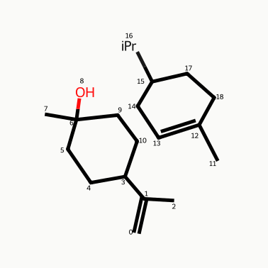 C=C(C)C1CCC(C)(O)CC1.CC1=CCC(C(C)C)CC1